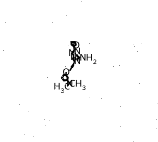 CN(C)c1cccc(OCC#Cc2cn3nc(-c4ccco4)nc3c(N)n2)c1